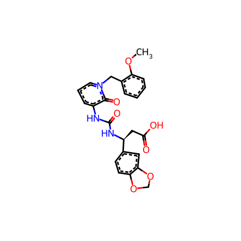 COc1ccccc1Cn1cccc(NC(=O)N[C@@H](CC(=O)O)c2ccc3c(c2)OCO3)c1=O